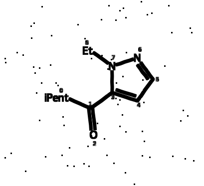 CCCC(C)C(=O)c1ccnn1CC